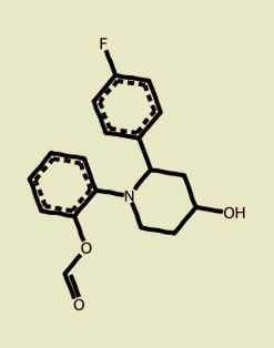 O=COc1ccccc1N1CCC(O)CC1c1ccc(F)cc1